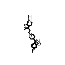 Cc1sc2c(c1CCN1CCC(c3noc4cc(F)ccc34)CC1)CCNC2